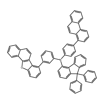 c1ccc(C2(c3ccccc3)c3ccccc3-c3c(N(c4ccc(-c5cccc6c5ccc5ccccc56)cc4)c4cccc(-c5cccc6oc7c8ccccc8ccc7c56)c4)cccc32)cc1